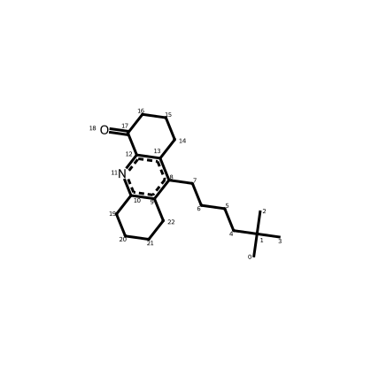 CC(C)(C)CCCCc1c2c(nc3c1CCCC3=O)CCCC2